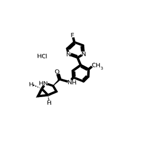 Cc1ccc(NC(=O)[C@H]2C[C@H]3C[C@H]3N2)cc1-c1ncc(F)cn1.Cl